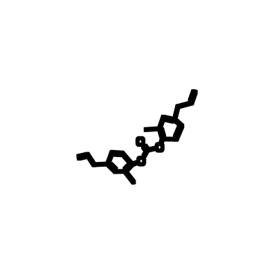 C=CCc1ccc(OC(=O)Oc2ccc(CC=C)cc2C)c(C)c1